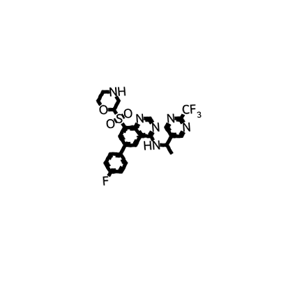 CC(Nc1ncnc2c(S(=O)(=O)C3CNCCO3)cc(-c3ccc(F)cc3)cc12)c1cnc(C(F)(F)F)nc1